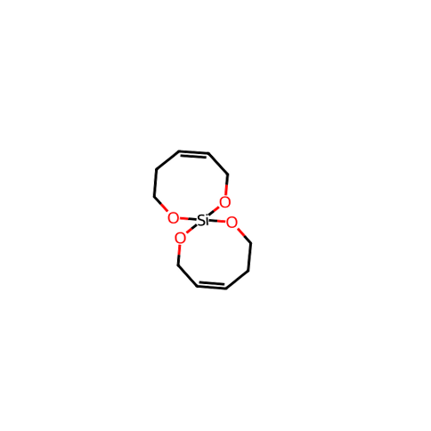 C1=C\CO[Si]2(OC/C=C\CCO2)OCC/1